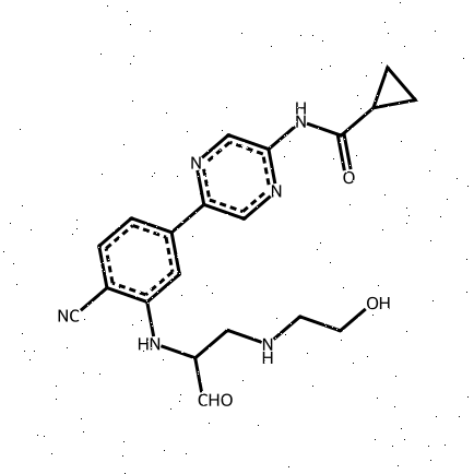 N#Cc1ccc(-c2cnc(NC(=O)C3CC3)cn2)cc1NC(C=O)CNCCO